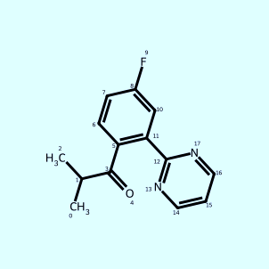 CC(C)C(=O)c1ccc(F)cc1-c1ncccn1